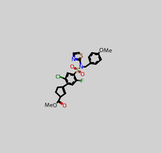 COC(=O)C1C=C(c2cc(F)c(S(=O)(=O)N(Cc3ccc(OC)cc3)c3nccs3)cc2Cl)CC1